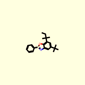 CCC(C)(C)c1cc(C(C)(C)C)cc2n[13c](-c3ccccc3)oc12